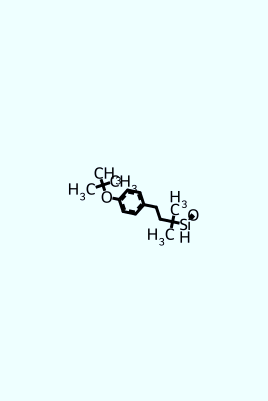 CC(C)(C)Oc1ccc(CCC(C)(C)[SiH]=O)cc1